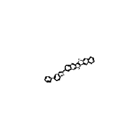 c1ccc(-c2ccc3sc(-c4ccc5cc6c(cc5c4)sc4c5cc7ccccc7cc5sc64)cc3c2)cc1